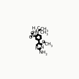 COc1nc(N)ncc1-c1ccc(NC(C)(C)C)c([N+](=O)[O-])c1